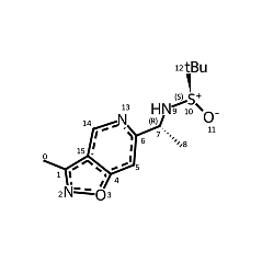 Cc1noc2cc([C@@H](C)N[S@+]([O-])C(C)(C)C)ncc12